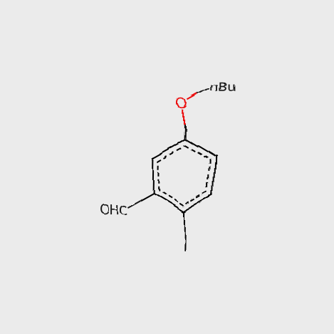 CCCCOc1ccc(C)c(C=O)c1